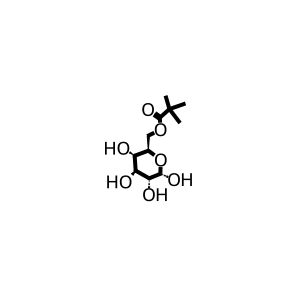 CC(C)(C)C(=O)OC[C@H]1O[C@H](O)[C@H](O)[C@@H](O)[C@@H]1O